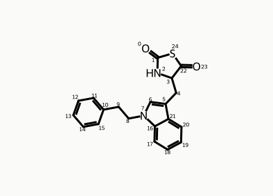 O=C1NC(Cc2cn(CCc3ccccc3)c3ccccc23)C(=O)S1